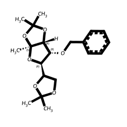 CC1(C)OCC([C@H]2O[C@@]3(C)OC(C)(C)O[C@@H]3[C@@H]2OCc2ccccc2)O1